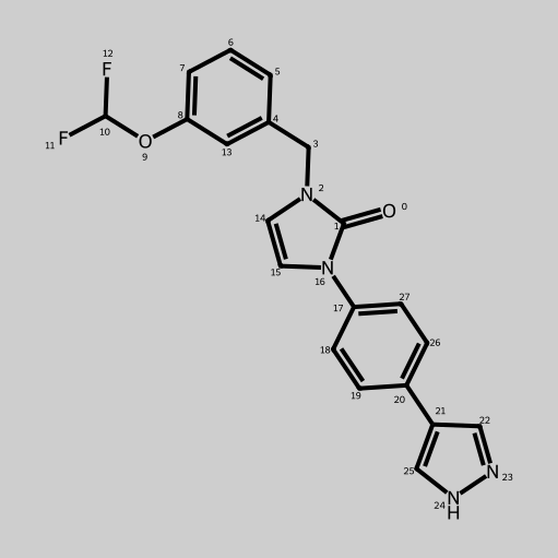 O=c1n(Cc2cccc(OC(F)F)c2)ccn1-c1ccc(-c2cn[nH]c2)cc1